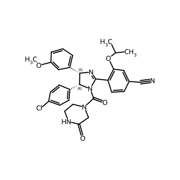 COc1cccc([C@@H]2N=C(c3ccc(C#N)cc3OC(C)C)N(C(=O)N3CCNC(=O)C3)[C@@H]2c2ccc(Cl)cc2)c1